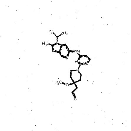 COC1(CC=O)CCN(c2nccc(Nc3cc4c(cn3)nc(C)n4C(C)C)n2)CC1